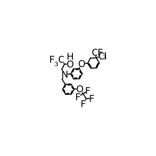 OC(CN(Cc1cccc(OC(F)(F)C(F)F)c1)c1cccc(OC2=CC=CC(Cl)(C(F)(F)F)C2)c1)C(F)(F)F